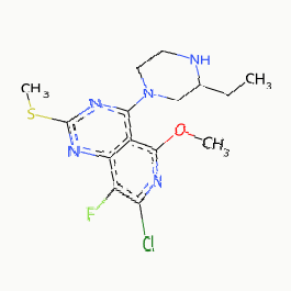 CCC1CN(c2nc(SC)nc3c(F)c(Cl)nc(OC)c23)CCN1